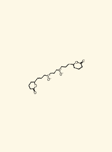 O=C1CCCC(CCC[S+]([O-])CCC[S+]([O-])CCCC2CCCC(=O)O2)O1